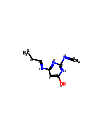 C=Nc1nc(O)cc(N=CCC)n1